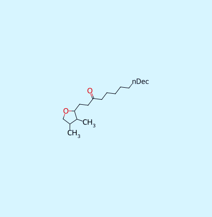 CCCCCCCCCCCCCCCC(=O)CCC1OCC(C)C1C